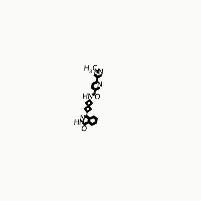 Cn1cc(-c2ccc(C(=O)N[C@H]3CC4(C3)C[C@H](c3n[nH]c(=O)c5ccccc53)C4)cn2)cn1